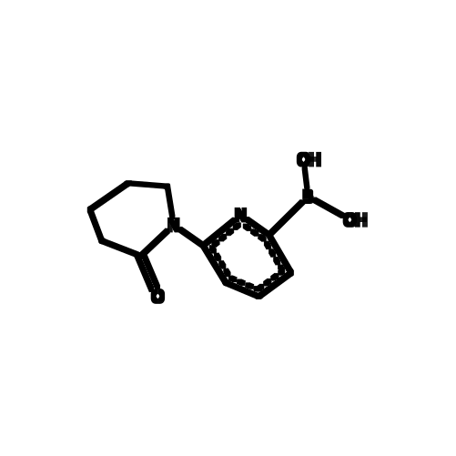 O=C1CCCCN1c1cccc(B(O)O)n1